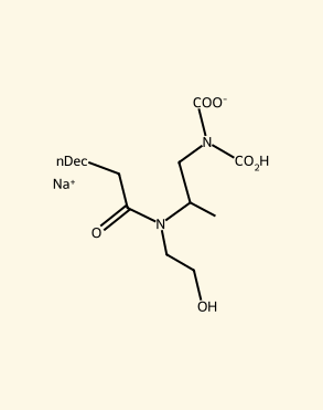 CCCCCCCCCCCC(=O)N(CCO)C(C)CN(C(=O)[O-])C(=O)O.[Na+]